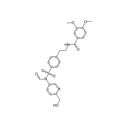 COc1ccc(C(=O)NCCc2ccc(S(=O)(=O)N(C=O)c3ccc(CO)nc3)cc2)cc1OC